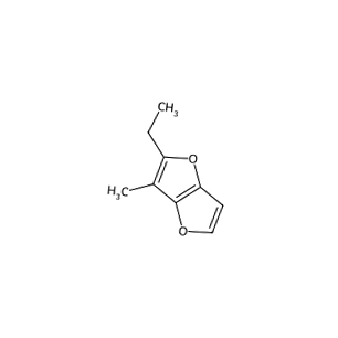 CCc1oc2ccoc2c1C